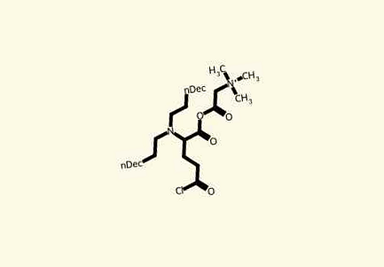 CCCCCCCCCCCCN(CCCCCCCCCCCC)C(CCC(=O)Cl)C(=O)OC(=O)C[N+](C)(C)C